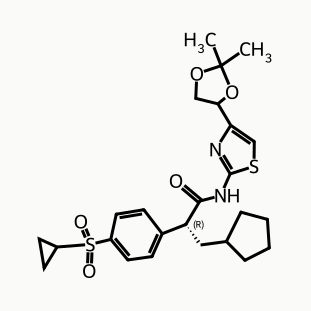 CC1(C)OCC(c2csc(NC(=O)[C@H](CC3CCCC3)c3ccc(S(=O)(=O)C4CC4)cc3)n2)O1